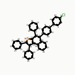 Clc1ccc(-c2ccc(-c3c(-c4ccccc4)c4sc(-c5ccccc5)c(-c5ccccc5)c4c4ccccc34)cc2)cc1